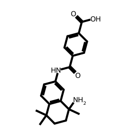 CC1(C)CCC(C)(N)c2cc(NC(=O)c3ccc(C(=O)O)cc3)ccc21